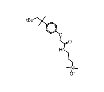 CC(C)(C)CC(C)(C)c1ccc(OCC(=O)NCCC[N+](C)(C)[O-])cc1